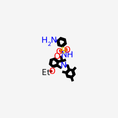 CCOc1cccc2c1CN(Cc1c(C)cc(C)cc1C)C2(C)C(=O)NS(=O)(=O)c1cccc(N)c1